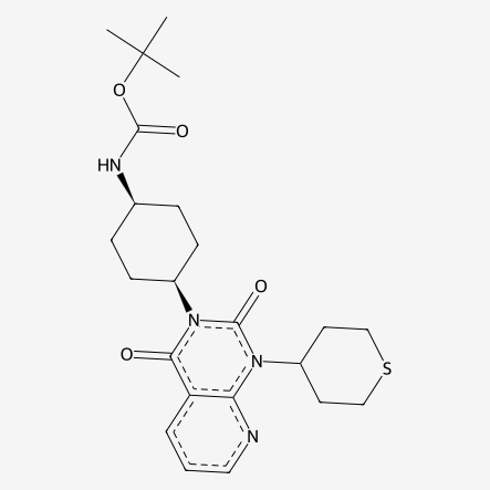 CC(C)(C)OC(=O)N[C@H]1CC[C@@H](n2c(=O)c3cccnc3n(C3CCSCC3)c2=O)CC1